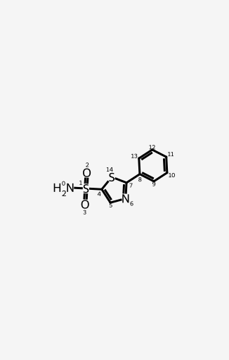 NS(=O)(=O)c1cnc(-c2ccccc2)s1